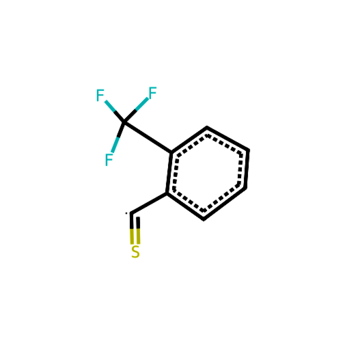 FC(F)(F)c1ccccc1[C]=S